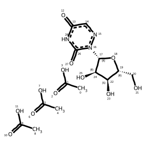 CC(=O)O.CC(=O)O.CC(=O)O.O=c1cnn([C@@H]2O[C@H](CO)[C@@H](O)[C@H]2O)c(=O)[nH]1